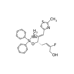 C/C(=C\c1csc(C)n1)[C@H](C/C=C(/F)CO)O[Si](c1ccccc1)(c1ccccc1)C(C)(C)C